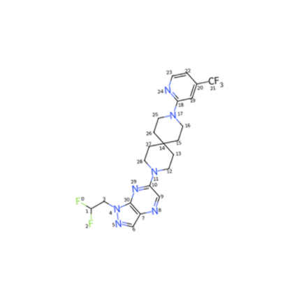 FC(F)Cn1ncc2ncc(N3CCC4(CCN(c5cc(C(F)(F)F)ccn5)CC4)CC3)nc21